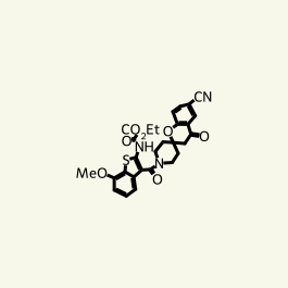 CCOC(=O)C(=O)Nc1sc2c(OC)cccc2c1C(=O)N1CCC2(CC1)CC(=O)c1cc(C#N)ccc1O2